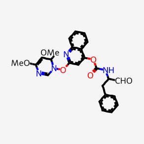 COC1=CC(OC)N(Oc2cc(OC(=O)NC(C=O)Cc3ccccc3)c3ccccc3n2)C=N1